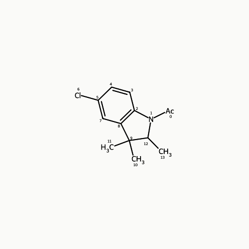 CC(=O)N1c2ccc(Cl)cc2C(C)(C)C1C